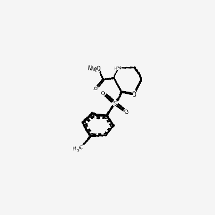 COC(=O)C1NCCOC1S(=O)(=O)c1ccc(C)cc1